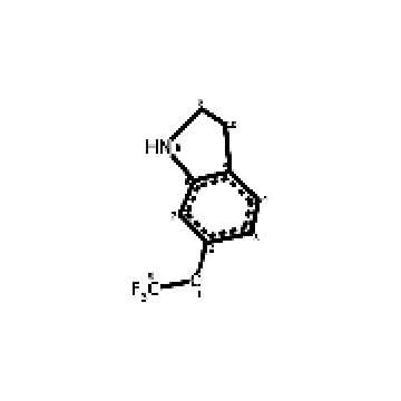 FC(F)(F)Oc1ccc2c(c1)NCC2